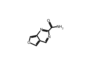 NC(=O)c1ncc2cocc2n1